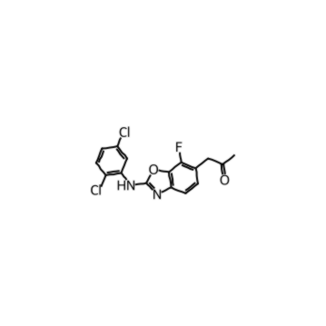 CC(=O)Cc1ccc2nc(Nc3cc(Cl)ccc3Cl)oc2c1F